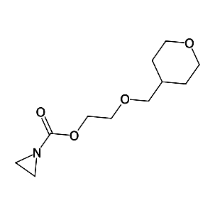 O=C(OCCOCC1CCOCC1)N1CC1